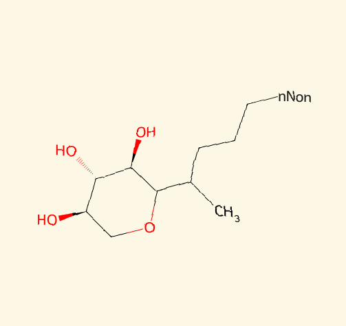 CCCCCCCCCCCCC(C)C1OC[C@@H](O)[C@H](O)[C@H]1O